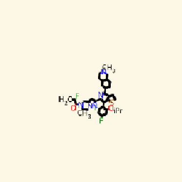 C=C(F)C(=O)N1Cc2cc(-c3nc(-c4ccc5c(c4)CCN(C)C5)c4ccsc4c3-c3c(F)cc(F)cc3OC(C)C)nn2CC1C